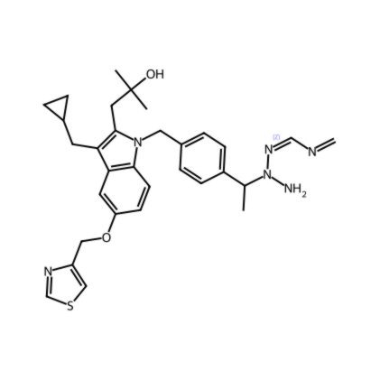 C=N/C=N\N(N)C(C)c1ccc(Cn2c(CC(C)(C)O)c(CC3CC3)c3cc(OCc4cscn4)ccc32)cc1